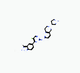 CC(C)c1c2cc(-c3nc(Nc4ccc5c(n4)CCN([C@@H]4CCN(C)C4)C5)ncc3F)ccc2nn1C